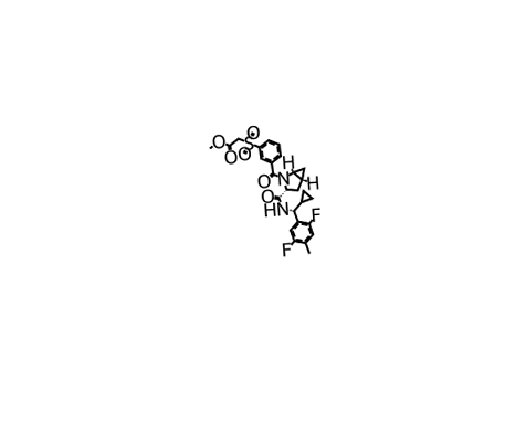 COC(=O)CS(=O)(=O)c1cccc(C(=O)N2[C@@H](C(=O)N[C@@H](c3cc(F)c(C)cc3F)C3CC3)C[C@H]3C[C@H]32)c1